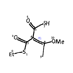 CCSC(=O)/C(C(=O)S)=C(\C)OC